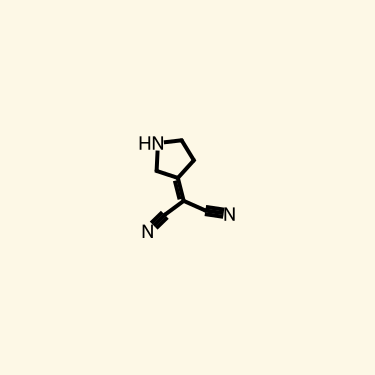 N#CC(C#N)=C1CCNC1